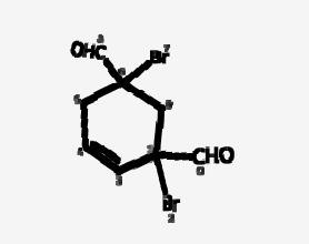 O=CC1(Br)C=CCC(Br)(C=O)C1